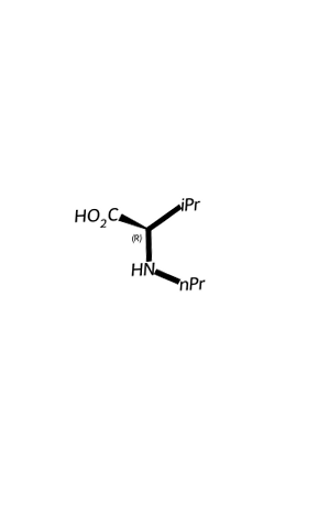 CCCN[C@@H](C(=O)O)C(C)C